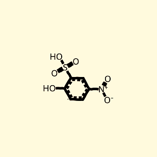 O=[N+]([O-])c1c[c]c(O)c(S(=O)(=O)O)c1